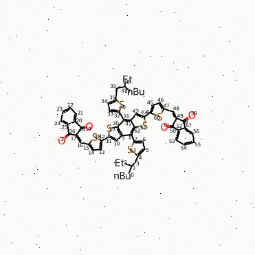 CCCCC(CC)Cc1ccc(-c2c3cc(-c4ccc(C=C5C(=O)c6ccccc6C5=O)s4)sc3c(-c3ccc(CC(CC)CCCC)s3)c3cc(-c4ccc(C=C5C(=O)c6ccccc6C5=O)s4)sc23)s1